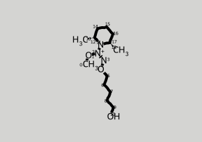 CO/[N+](=N\OCCCCCO)N1[C@H](C)CCC[C@@H]1C